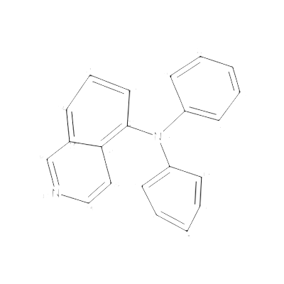 c1ccc(N(c2ccccc2)c2cccc3cnccc23)cc1